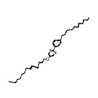 CCCCCCCCCCCCCOc1cnc(-c2ccc(CCCCCCCCCCC)cc2)nc1